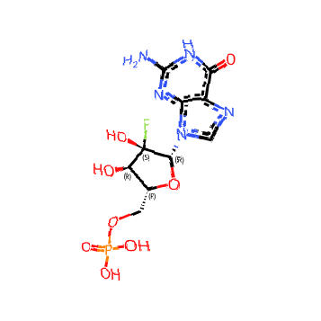 Nc1nc2c(ncn2[C@@H]2O[C@H](COP(=O)(O)O)[C@@H](O)[C@]2(O)F)c(=O)[nH]1